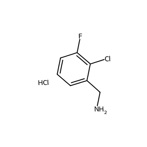 Cl.NCc1cccc(F)c1Cl